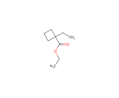 CCOC(=O)C1(CC)CCC1